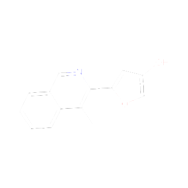 Cc1c(-c2cc(O)co2)n[c]c2ccccc12